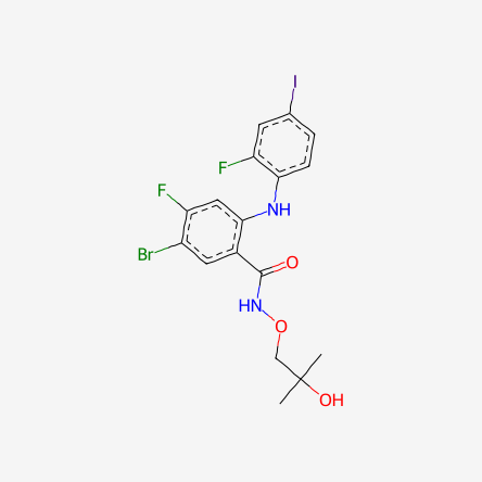 CC(C)(O)CONC(=O)c1cc(Br)c(F)cc1Nc1ccc(I)cc1F